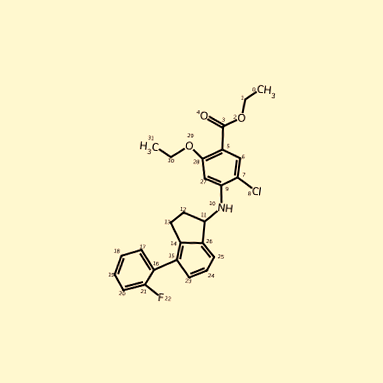 CCOC(=O)c1cc(Cl)c(NC2CCc3c(-c4ccccc4F)cccc32)cc1OCC